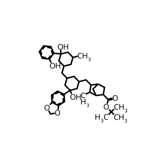 CC1CC(CC2CC(CC3C4CC(C(=O)OC(C)(C)C)C(C4)C3C)CC(O)(c3ccc4c(c3)OCO4)C2)CC(O)(c2ccccc2O)C1